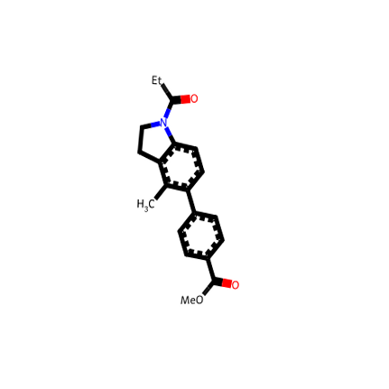 CCC(=O)N1CCc2c1ccc(-c1ccc(C(=O)OC)cc1)c2C